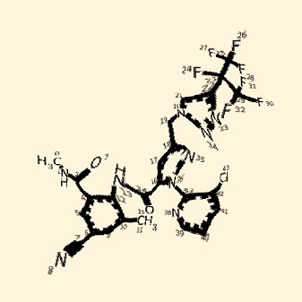 CNC(=O)c1cc(C#N)cc(C)c1NC(=O)c1cc(Cn2cc(C(F)(C(F)(F)F)C(F)(F)F)nn2)nn1-c1ncccc1Cl